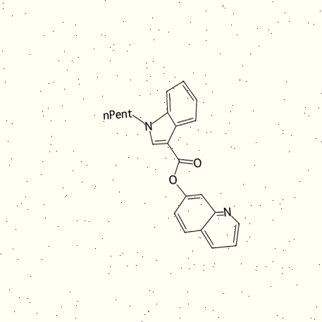 CCCCCn1cc(C(=O)Oc2ccc3cccnc3c2)c2ccccc21